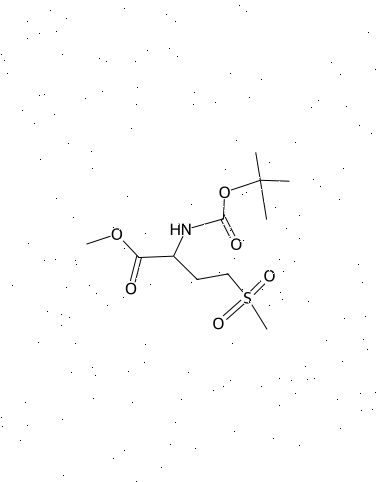 COC(=O)C(CCS(C)(=O)=O)NC(=O)OC(C)(C)C